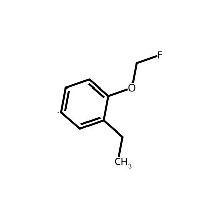 CCc1c[c]ccc1OCF